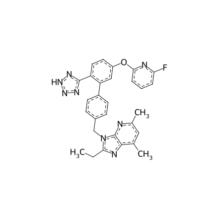 CCc1nc2c(C)cc(C)nc2n1Cc1ccc(-c2cc(Oc3cccc(F)n3)ccc2-c2nn[nH]n2)cc1